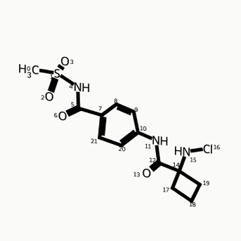 CS(=O)(=O)NC(=O)c1ccc(NC(=O)C2(NCl)CCC2)cc1